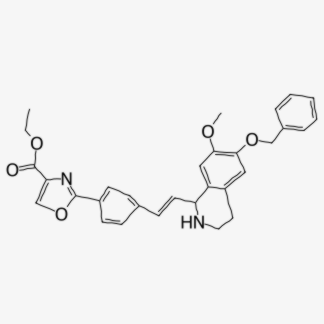 CCOC(=O)c1coc(-c2ccc(C=CC3NCCc4cc(OCc5ccccc5)c(OC)cc43)cc2)n1